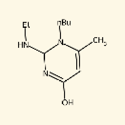 CCCCN1C(C)=CC(O)=NC1NCC